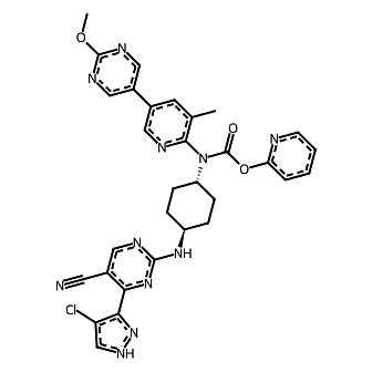 COc1ncc(-c2cnc(N(C(=O)Oc3ccccn3)[C@H]3CC[C@H](Nc4ncc(C#N)c(-c5n[nH]cc5Cl)n4)CC3)c(C)c2)cn1